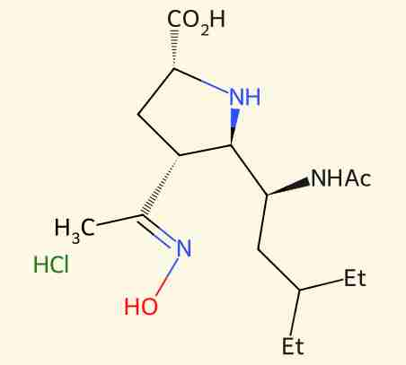 CCC(CC)C[C@H](NC(C)=O)[C@@H]1N[C@@H](C(=O)O)C[C@H]1C(C)=NO.Cl